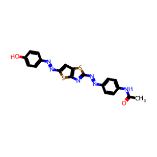 CC(=O)Nc1ccc(N=Nc2nc3sc(N=Nc4ccc(O)cc4)cc3s2)cc1